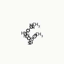 Cc1ncc(-c2ccc(Nc3ncc4cc(-c5nccs5)c(OC5CCN(C)CC5)cc4n3)cc2)cn1